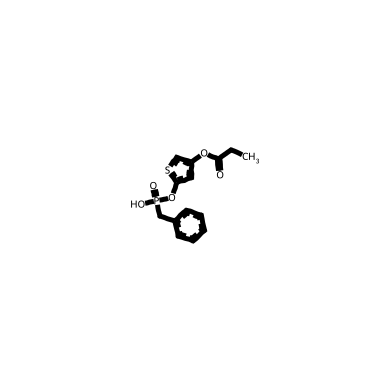 CCC(=O)Oc1csc(OP(=O)(O)Cc2ccccc2)c1